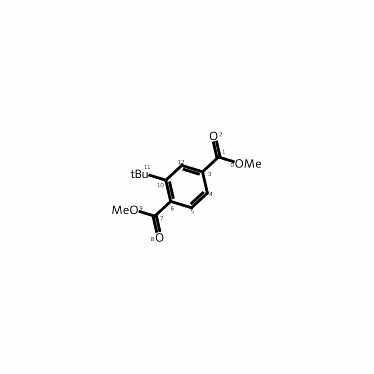 COC(=O)c1ccc(C(=O)OC)c(C(C)(C)C)c1